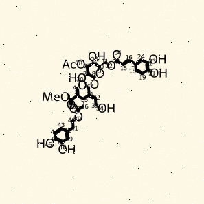 COC(=O)C1=CO[C@@H](O[C@@H]2O[C@H](COC(=O)/C=C/c3ccc(O)c(O)c3)[C@@H](O)[C@H](OC(C)=O)[C@H]2O)/C(=C/CO)[C@@H]1CC(=O)OCCc1ccc(O)c(O)c1